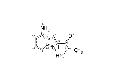 CN(C)C(=O)c1nc2c(N)cccc2[nH]1